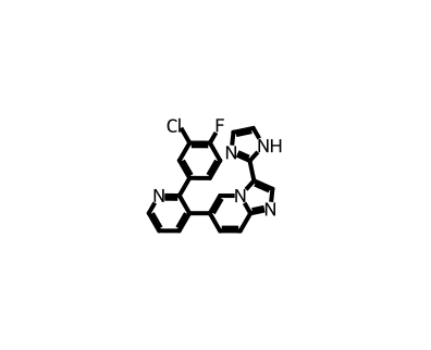 Fc1ccc(-c2ncccc2-c2ccc3ncc(-c4ncc[nH]4)n3c2)cc1Cl